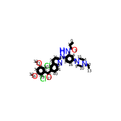 C=CC(=O)Nc1cc(N2CCN(CC)CC2)ccc1Nc1ccc2cc(C(=O)c3c(Cl)c(OC)cc(OC)c3Cl)ccc2n1